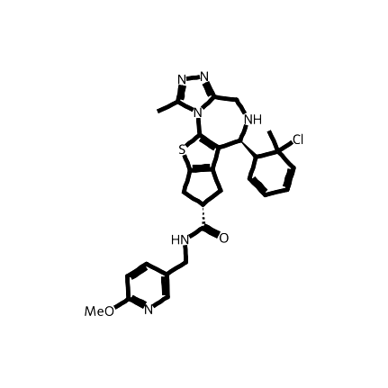 COc1ccc(CNC(=O)[C@@H]2Cc3sc4c(c3C2)[C@H](C2C=CC=CC2(C)Cl)NCc2nnc(C)n2-4)cn1